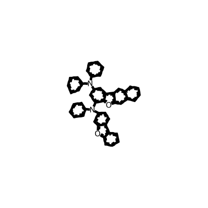 c1ccc(N(c2ccccc2)c2cc(N(c3ccccc3)c3ccc4c(c3)oc3ccccc34)c3oc4cc5ccccc5cc4c3c2)cc1